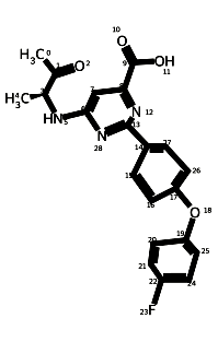 CC(=O)[C@H](C)Nc1cc(C(=O)O)nc(-c2ccc(Oc3ccc(F)cc3)cc2)n1